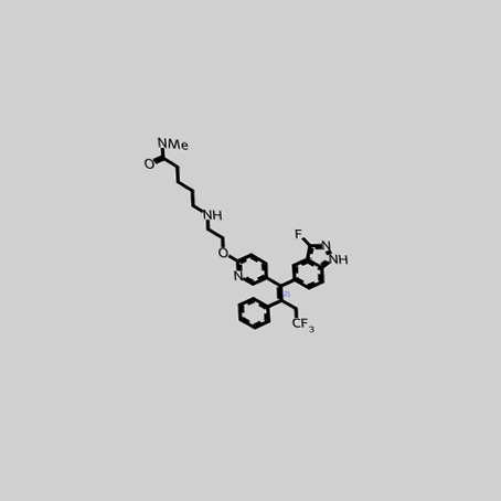 CNC(=O)CCCCNCCOc1ccc(/C(=C(/CC(F)(F)F)c2ccccc2)c2ccc3[nH]nc(F)c3c2)cn1